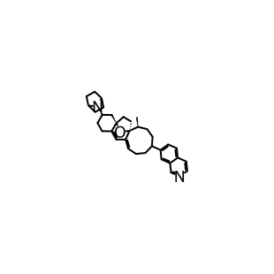 C[C@H]1CCC(c2ccc3ccncc3c2)CC/C=C2/C=C3CCC(N4C5CCC4CC5)C[C@]34CC[C@@]21O4